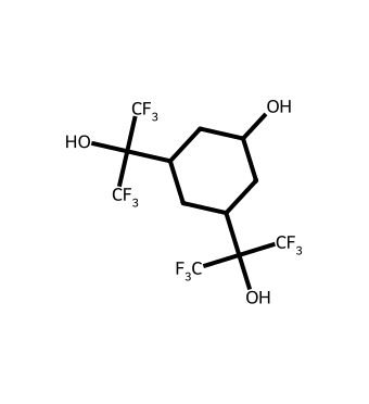 OC1CC(C(O)(C(F)(F)F)C(F)(F)F)CC(C(O)(C(F)(F)F)C(F)(F)F)C1